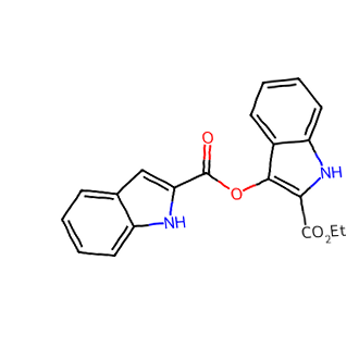 CCOC(=O)c1[nH]c2ccccc2c1OC(=O)c1cc2ccccc2[nH]1